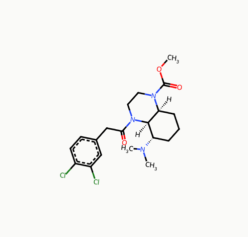 COC(=O)N1CCN(C(=O)Cc2ccc(Cl)c(Cl)c2)[C@@H]2[C@@H](N(C)C)CCC[C@@H]21